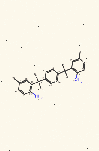 Cc1ccc(N)c(C(C)(C)c2ccc(C(C)(C)c3cc(C)ccc3N)cc2)c1